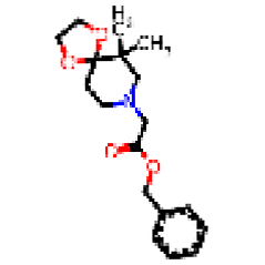 CC1(C)CN(CC(=O)OCc2ccccc2)CCC12OCCO2